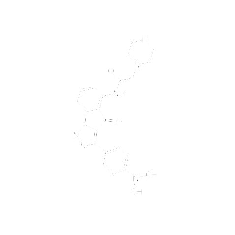 CN(C)c1ccc(C2=C3C(=O)c4c(NC(=O)CN5CCOCC5)cccc4C3N=N2)cc1